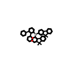 CC1(C)c2ccccc2-c2ccc(N(c3cccc(-c4ccccc4)c3-c3ccccc3)c3cccc4c3-c3ccccc3C4(C)C)cc21